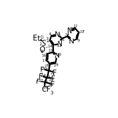 CC[S+]([O-])c1cnc(-c2ncccn2)nc1-c1ccc(C(F)(F)C(F)(F)C(F)(F)C(F)(F)F)cn1